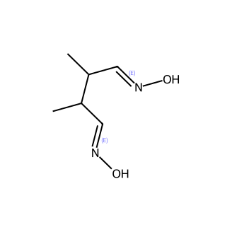 CC(/C=N/O)C(C)/C=N/O